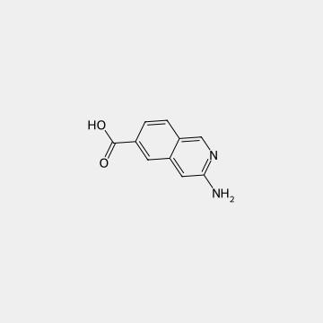 Nc1cc2cc(C(=O)O)ccc2cn1